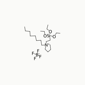 CCCCCCCC[N+]1(CC[Si](OCC)(OCC)OCC)CCCC1.F[B-](F)(F)F